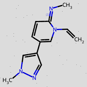 C=Cn1cc(-c2cnn(C)c2)cc/c1=N/C